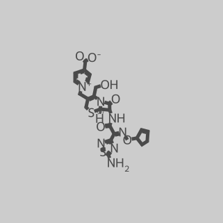 Nc1nc(C(=NOC2C=CCC2)C(=O)NC2C(=O)N3C(CO)=C(C[n+]4ccc(C(=O)[O-])cc4)CS[C@@H]23)ns1